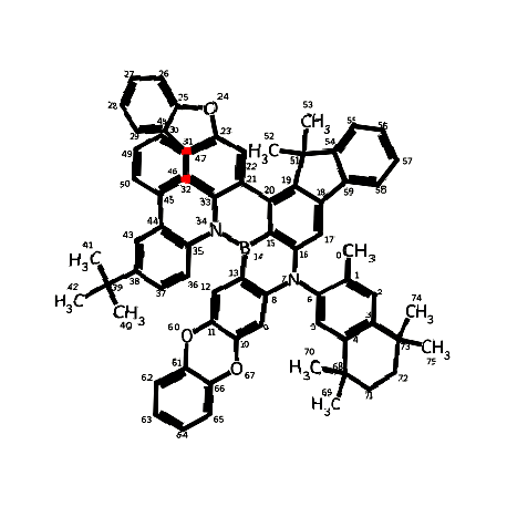 Cc1cc2c(cc1N1c3cc4c(cc3B3c5c1cc1c(c5-c5cc6oc7ccccc7c6cc5N3c3ccc(C(C)(C)C)cc3-c3ccccc3)C(C)(C)c3ccccc3-1)Oc1ccccc1O4)C(C)(C)CCC2(C)C